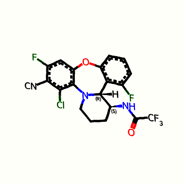 [C-]#[N+]c1c(F)cc2c(c1Cl)N1CCC[C@H](NC(=O)C(F)(F)F)[C@H]1c1c(F)cccc1O2